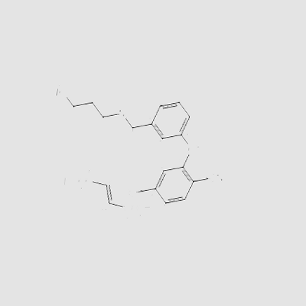 N#Cc1ccc(Cl)cc1Oc1cccc(CNCCCO)c1.O=C(O)/C=C/C(=O)O